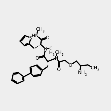 CCC(N)COCC(=O)N(C)[C@H](Cc1ccc(-c2ccccc2)cc1)C(=O)N(C)[C@H](Cc1cccs1)C(=O)NC